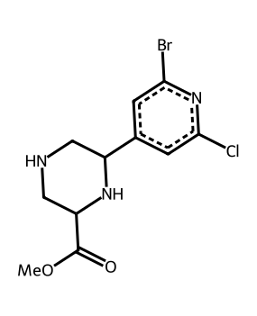 COC(=O)C1CNCC(c2cc(Cl)nc(Br)c2)N1